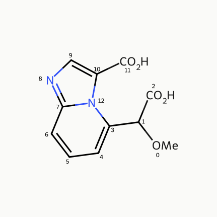 COC(C(=O)O)c1cccc2ncc(C(=O)O)n12